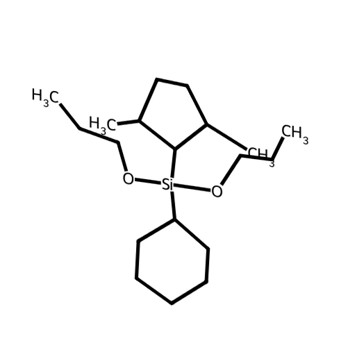 CCCO[Si](OCCC)(C1CCCCC1)C1C(C)CCC1C